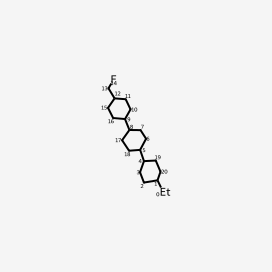 CCC1CCC(C2CCC(C3CCC(CF)CC3)CC2)CC1